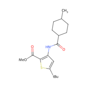 COC(=O)c1sc(C(C)(C)C)cc1NC(=O)C1CCC(C)CC1